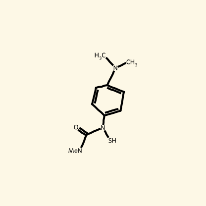 CNC(=O)N(S)c1ccc(N(C)C)cc1